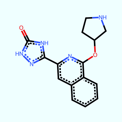 O=c1[nH]nc(-c2cc3ccccc3c(OC3CCNC3)n2)[nH]1